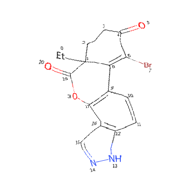 CCC12CCC(=O)C(Br)=C1c1ccc3[nH]ncc3c1OC2=O